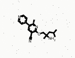 Cc1nc(OCC(C)(N)CC(C)C)c(C#N)cc1-c1ccncc1